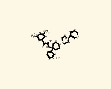 Cl.O=C(N[C@]1(c2ccccc2)CC[C@@H](N2CCN(C3=COCC=C3)CC2)CC1)C(=O)c1cc(C(F)(F)F)cc(C(F)(F)F)c1